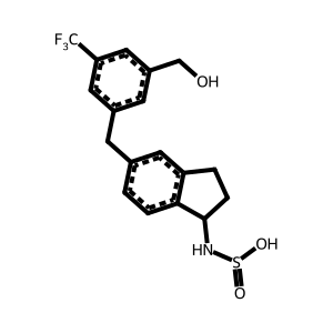 O=S(O)NC1CCc2cc(Cc3cc(CO)cc(C(F)(F)F)c3)ccc21